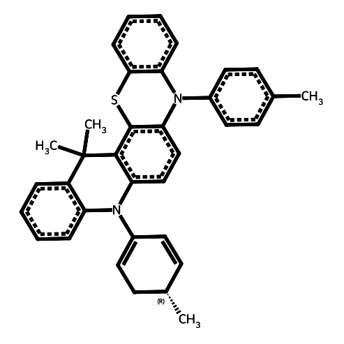 Cc1ccc(N2c3ccccc3Sc3c2ccc2c3C(C)(C)c3ccccc3N2C2=CC[C@@H](C)C=C2)cc1